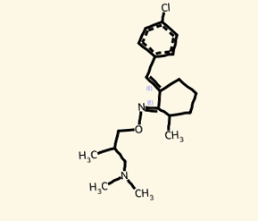 CC(CO/N=C1/C(=C/c2ccc(Cl)cc2)CCCC1C)CN(C)C